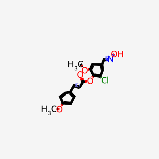 COc1ccc(/C=C/C(=O)Oc2c(Cl)cc(/C=N/O)cc2OC)cc1